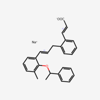 Cc1cccc(/C=C/Cc2ccccc2/C=C/C(=O)[O-])c1OC(C)c1ccccc1.[Na+]